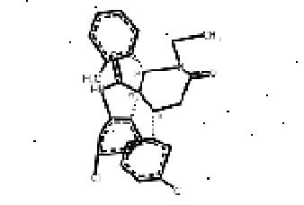 CCN1C(=O)C[C@H](c2cccc(Cl)c2)[C@@]2(C(=O)Nc3cc(Cl)ccc32)[C@@H]1c1ccccc1C